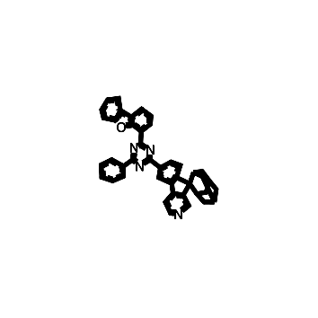 c1ccc(-c2nc(-c3ccc4c(c3)-c3ccncc3C43C4CC5CC(C4)CC3C5)nc(-c3cccc4c3oc3ccccc34)n2)cc1